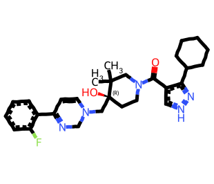 CC1(C)CN(C(=O)c2c[nH]nc2C2CCCCC2)CC[C@]1(O)CN1C=CC(c2ccccc2F)=NC1